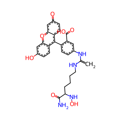 C=C(NCCCCC(NO)C(N)=O)Nc1ccc(-c2c3ccc(=O)cc-3oc3cc(O)ccc23)c(C(=O)O)c1